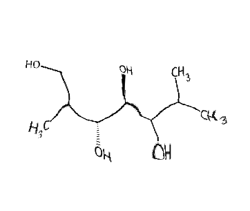 CC(C)C(O)[C@H](O)[C@H](O)C(C)CO